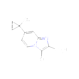 CCc1c(C(=O)O)nc2cc(C3(C#N)CC3)ccn12